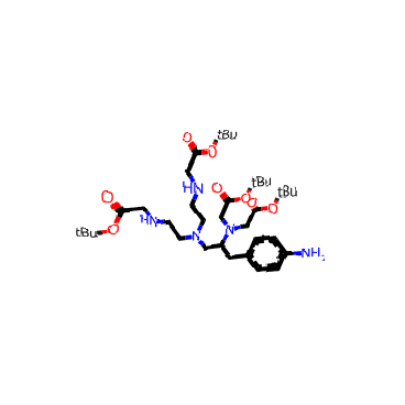 CC(C)(C)OC(=O)CNCCN(CCNCC(=O)OC(C)(C)C)CC(Cc1ccc(N)cc1)N(CC(=O)OC(C)(C)C)CC(=O)OC(C)(C)C